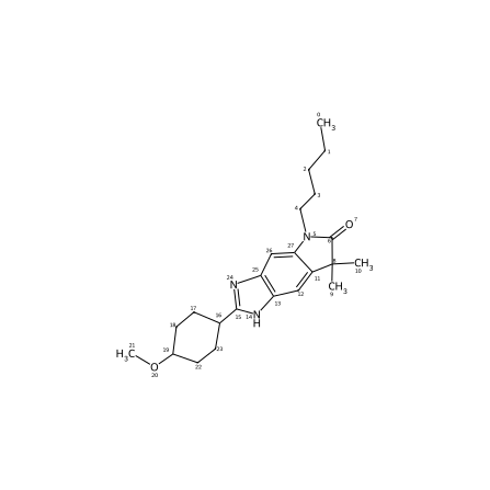 CCCCCN1C(=O)C(C)(C)c2cc3[nH]c(C4CCC(OC)CC4)nc3cc21